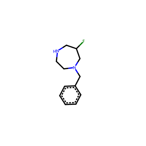 FC1CNCCN(Cc2ccccc2)C1